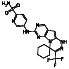 NS(=O)(=O)c1ccc(Nc2ncc3cc4n(c3n2)C2(CCCCC2)C(C(F)(F)F)=NN4)cn1